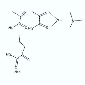 C=C(C)C(=O)O.C=C(C)C(=O)O.C=C(CCC)C(=O)O.CN(C)C.CN(C)C.Cl